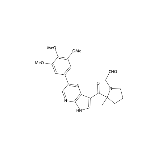 COc1cc(-c2cnc3[nH]cc(C(=O)C4(C)CCCN4CC=O)c3n2)cc(OC)c1OC